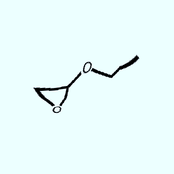 CCOC1CO1